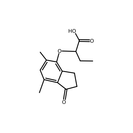 CCC(Oc1c(C)cc(C)c2c1CCC2=O)C(=O)O